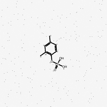 Cc1ccc(OP(=O)(O)O)c(C)c1